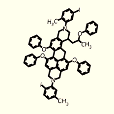 Cc1ccc(I)c(N2Cc3cc(Oc4ccccc4)c4c5c(c(Oc6ccccc6)cc(c35)C2)-c2c(Oc3ccccc3)cc3c(c2C4)C(CC(C)Oc2ccccc2)CN(c2cc(I)ccc2C)C3)c1